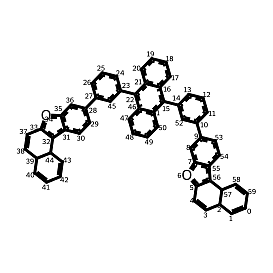 C1=CC2C=Cc3oc4cc(-c5cccc(-c6c7ccccc7c(-c7cccc(-c8ccc9c%10c(oc9c8)C=CC8C=CC=CC%108)c7)c7ccccc67)c5)ccc4c3C2C=C1